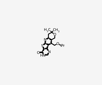 CC(C)OCc1c2c(nc3sc4c(=O)[nH]cnc4c13)CC(C)(C)OC2